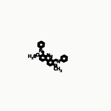 COc1ccc2c(nnc3c(/C=N/c4ccccc4)c(OC)ccc32)c1/C=N/c1ccccc1